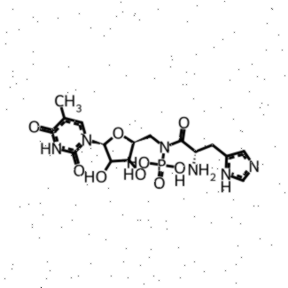 Cc1cn([C@H]2O[C@@H](CN(C(=O)[C@@H](N)Cc3cnc[nH]3)P(=O)(O)O)C(O)C2O)c(=O)[nH]c1=O